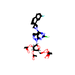 CC(=O)OC[C@H]1O[C@@H](n2ncc3c(N4CC5(CCc6ccc(F)cc65)C4)nc(Cl)nc32)[C@H](OC(C)=O)[C@@H]1OC(C)=O